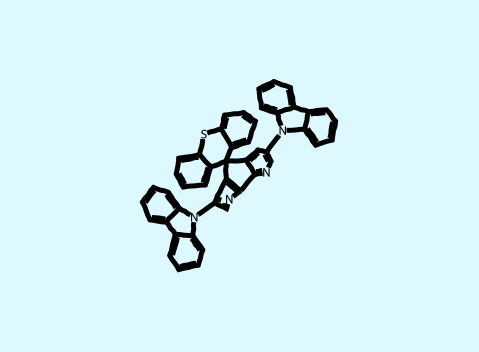 c1ccc2c(c1)Sc1ccccc1C21c2cc(-n3c4ccccc4c4ccccc43)cnc2-c2ncc(-n3c4ccccc4c4ccccc43)cc21